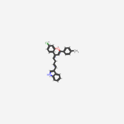 Cc1ccc(/C(O)=C/C(=C\C/C=C/c2c[nH]c3ccccc23)c2ccc(Cl)cc2)cc1